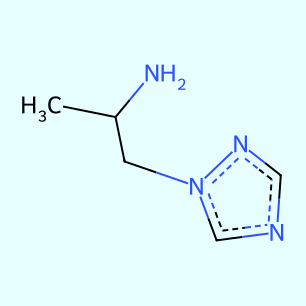 CC(N)Cn1cncn1